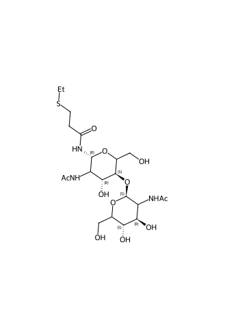 CCSCCC(=O)N[C@@H]1OC(CO)[C@@H](O[C@@H]2OC(CO)[C@@H](O)[C@H](O)C2NC(C)=O)[C@H](O)C1NC(C)=O